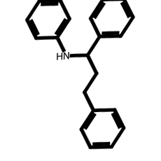 c1ccc(CC[C](Nc2ccccc2)c2ccccc2)cc1